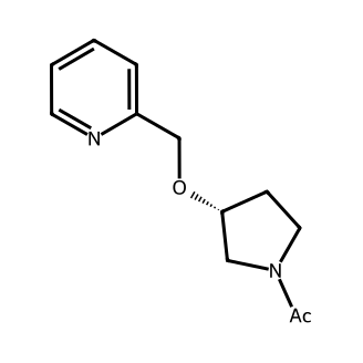 CC(=O)N1CC[C@@H](OCc2ccccn2)C1